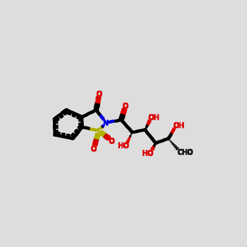 O=C[C@@H](O)[C@@H](O)[C@H](O)[C@H](O)C(=O)N1C(=O)c2ccccc2S1(=O)=O